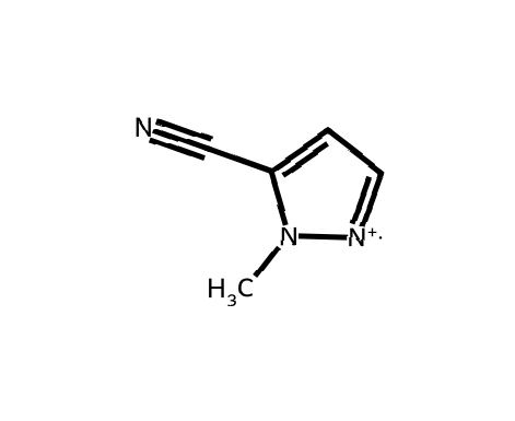 CN1[N+]=CC=C1C#N